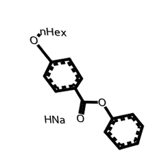 CCCCCCOc1ccc(C(=O)Oc2ccccc2)cc1.[NaH]